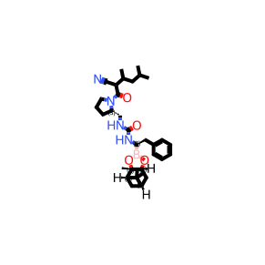 CC(C)CC(C)C(C#N)C(=O)N1CCC[C@H]1CNC(=O)N[C@@H](Cc1ccccc1)B1O[C@@H]2C[C@@H]3C[C@@H](C3(C)C)[C@]2(C)O1